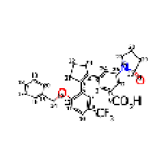 O=C(O)c1cc(C2=C(c3cc(C(F)(F)F)ccc3OCc3ccccc3)CCC2)cc(N2CCCC2=O)c1